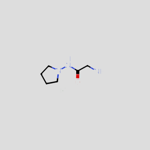 Cl.NCC(=O)NN1CCCC1